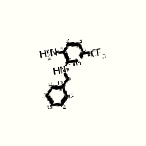 Nc1[c]cc(C(F)(F)F)nc1NCc1ccccc1